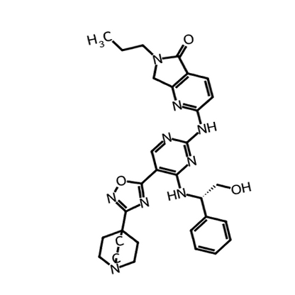 CCCN1Cc2nc(Nc3ncc(-c4nc(C56CCN(CC5)CC6)no4)c(N[C@H](CO)c4ccccc4)n3)ccc2C1=O